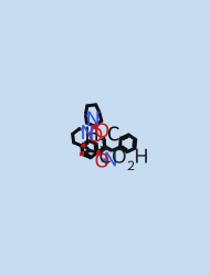 Cc1ccccc1-c1noc(C2CC2)c1COC1CC2CCC(C1)N2C(=O)N1CCCc2ccc(C(=O)O)cc21